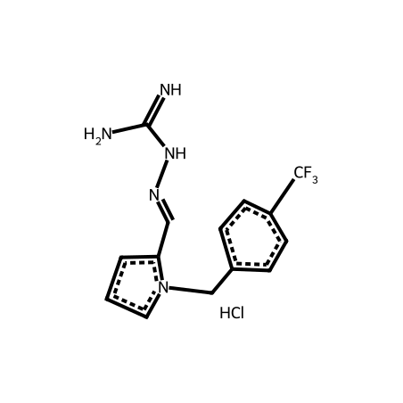 Cl.N=C(N)NN=Cc1cccn1Cc1ccc(C(F)(F)F)cc1